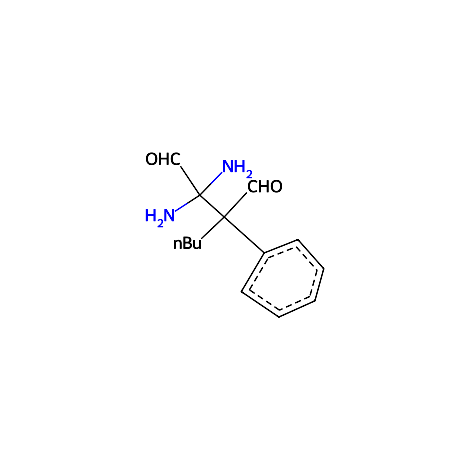 CCCCC(C=O)(c1ccccc1)C(N)(N)C=O